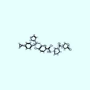 C[C@@H]([C@H](Oc1ccc(C(=O)N[C@H]2CCCN(C(=O)[C@H]3COC(=O)C3)C2)nc1)c1ccc(C2CC2)cc1)N1C=CSC1